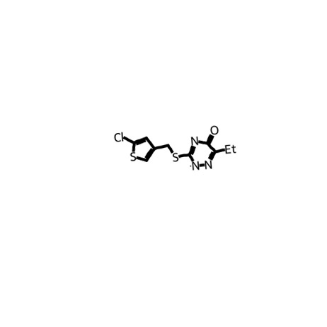 CCC1=N[N]C(SCc2csc(Cl)c2)=NC1=O